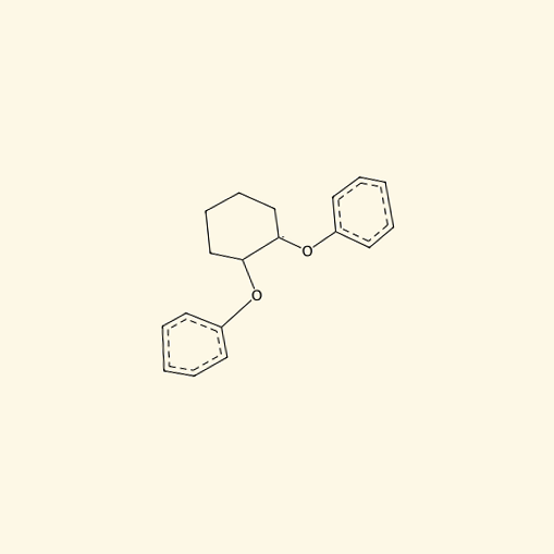 c1ccc(O[C]2CCCCC2Oc2ccccc2)cc1